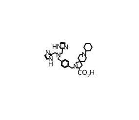 O=C(O)C1CC2(CCN(C3CCCCC3)CC2)CN1Cc1ccc(CN(Cc2ncc[nH]2)Cc2ncc[nH]2)cc1